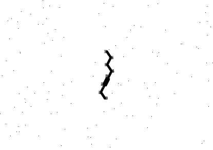 CCC#CCCCC